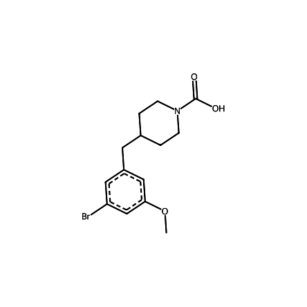 COc1cc(Br)cc(CC2CCN(C(=O)O)CC2)c1